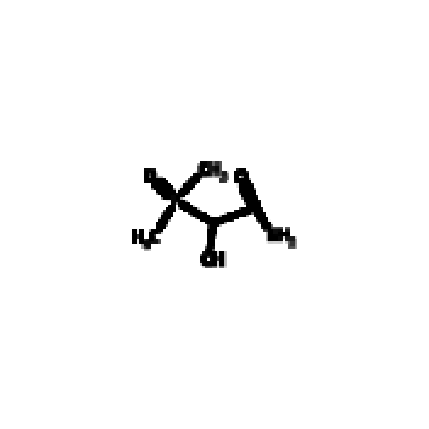 CP(C)(=O)C(O)C(N)=O